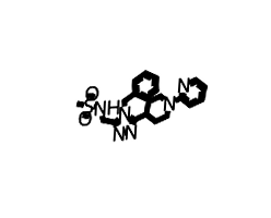 CS(=O)(=O)NCc1nnc(C2CCN(c3ccccn3)CC2)n1Cc1ccccc1